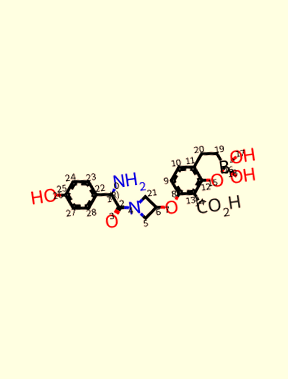 N[C@@H](C(=O)N1CC(Oc2ccc3c(c2C(=O)O)O[B-](O)(O)CC3)C1)c1ccc(O)cc1